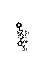 COc1ccnc(C(=O)N[C@@H](C)c2noc(-c3ccccc3)n2)c1O